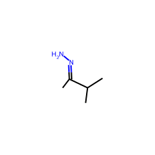 C/C(=N\N)C(C)C